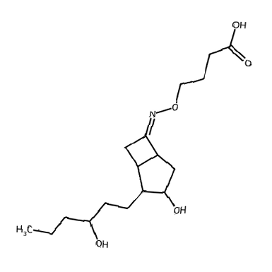 CCCC(O)CCC1C(O)CC2C(=NOCCCC(=O)O)CC21